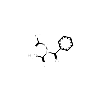 NC(=O)N(OC(=O)C(F)(F)F)C(=O)c1ccccc1